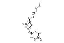 CCCCOCC[C@H]1C[C@@H](CN2CCN(C)CC2)[C@H]1C